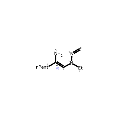 C=NN(/C=C(\N)CCCCC)CC